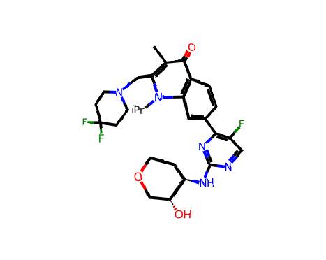 Cc1c(CN2CCC(F)(F)CC2)n(C(C)C)c2cc(-c3nc(N[C@@H]4CCOC[C@H]4O)ncc3F)ccc2c1=O